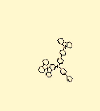 C1=CC2C3=C(CCCC3)N(C3CC=C(C4C=CC(N(C5=CC6C7=C(C=CCC7)C7(C6C=C5)C5CCC=CC5C5CCCCC57)C5=CC=C(C6C=CCCC6)CC5)=CC4)CC3)C2C=C1